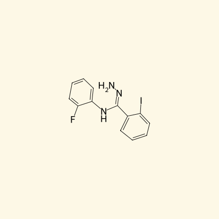 N/N=C(\Nc1ccccc1F)c1ccccc1I